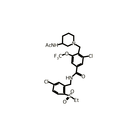 CCS(=O)(=O)c1ccc(Cl)cc1CNC(=O)c1cc(Cl)c(CN2CCCC(NC(C)=O)C2)c(OC(F)(F)F)c1